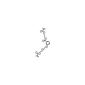 C=C(C)C(=O)OCCCOC(=O)c1cccc(OCCOCCOC(=O)C(=C)C)c1